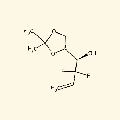 C=CC(F)(F)[C@H](O)C1COC(C)(C)O1